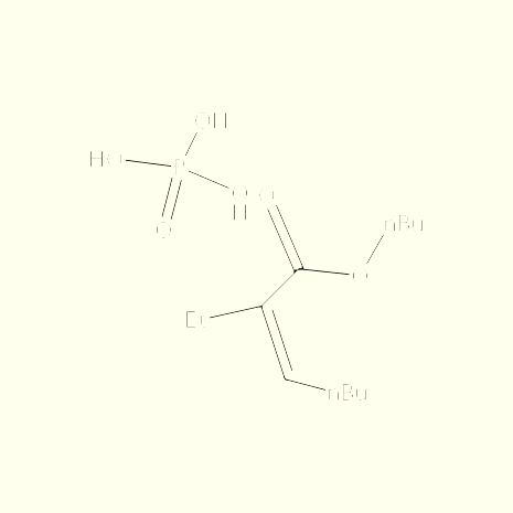 CCCCC=C(CC)C(=O)OCCCC.O=P(O)(O)O